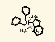 C[SiH](C)[Ti]([CH2]c1ccccc1)([CH2]c1ccccc1)([NH]C(C)(C)C)[CH]1C=Cc2ccccc21